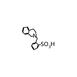 O=S(=O)(O)c1ccccc1CN1CCc2ccccc2C1